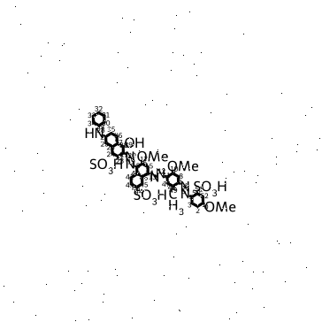 COc1ccc(N=Nc2cc(OC)c(N=Nc3cc(OC)c(N=Nc4c(S(=O)(=O)O)cc5cc(Nc6ccccc6)ccc5c4O)c4ccc(S(=O)(=O)O)cc34)cc2C)c(S(=O)(=O)O)c1